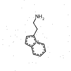 NCCc1ccc2ccccn12